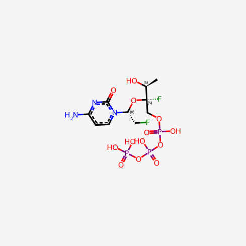 C[C@H](O)[C@@](F)(COP(=O)(O)OP(=O)(O)OP(=O)(O)O)O[C@H](CF)n1ccc(N)nc1=O